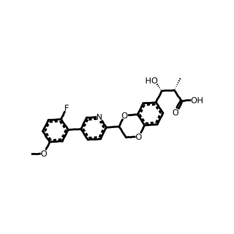 COc1ccc(F)c(-c2ccc(C3COc4ccc([C@H](O)[C@H](C)C(=O)O)cc4O3)nc2)c1